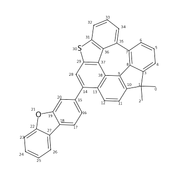 CC1(C)c2cccc3c2-c2c1ccc1c(-c4ccc5c(c4)oc4ccccc45)cc4sc5cccc-3c5c4c21